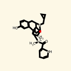 C[C@H]1CC23CCC(N(C)C(=O)C4=CCC=CN4)C1C21CCN(CC2CC2)C3Cc2ccc(O)cc21